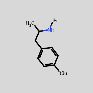 CC(C)NC(C)Cc1ccc(C(C)(C)C)cc1